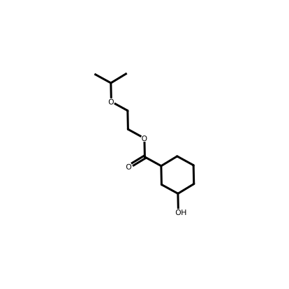 CC(C)OCCOC(=O)C1CCCC(O)C1